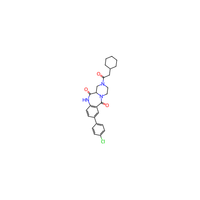 O=C1Nc2ccc(-c3ccc(Cl)cc3)cc2C(=O)N2CCN(C(=O)CC3CCCCC3)CC12